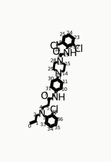 C=CCN(CCC(=O)Nc1ccc(N2CCN(C(=O)Nc3c(Cl)cccc3Cl)CC2)cc1)c1ccccc1Cl